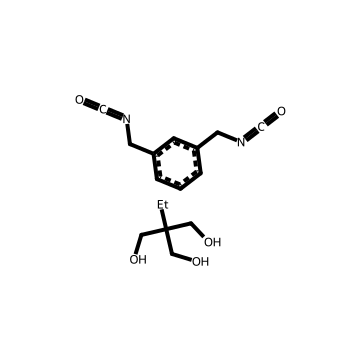 CCC(CO)(CO)CO.O=C=NCc1cccc(CN=C=O)c1